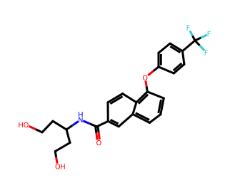 O=C(NC(CCO)CCO)c1ccc2c(Oc3ccc(C(F)(F)F)cc3)cccc2c1